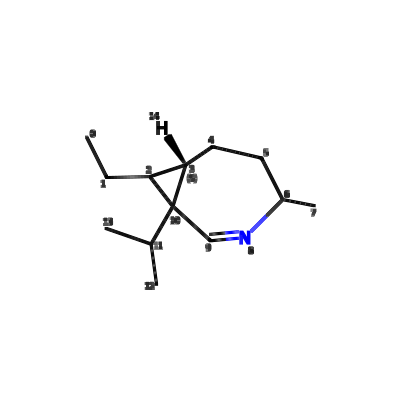 CCC1[C@@H]2CCC(C)N=CC12C(C)C